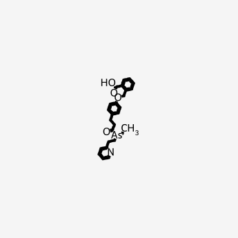 CC[As](CCc1ccccn1)C(=O)CCc1ccc(OCc2ccccc2C(=O)O)cc1